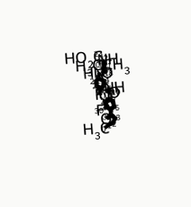 Cc1ccc(-c2ccc(S(=O)(=O)Nc3cc(NC(=O)C(C)(C)NC(=O)O)ccc3F)cc2F)o1